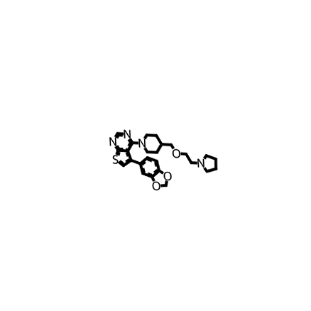 c1nc(N2CCC(COCCN3CCCC3)CC2)c2c(-c3ccc4c(c3)OCO4)csc2n1